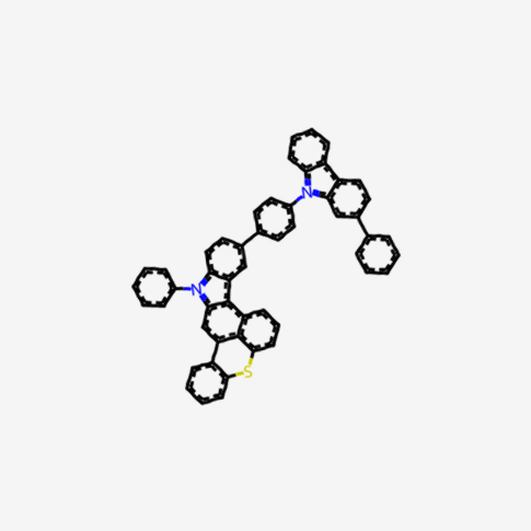 c1ccc(-c2ccc3c4ccccc4n(-c4ccc(-c5ccc6c(c5)c5c7cccc8c7c(cc5n6-c5ccccc5)-c5ccccc5S8)cc4)c3c2)cc1